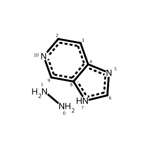 NN.c1cc2nc[nH]c2cn1